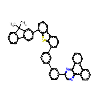 CC1(C)c2ccccc2-c2ccc(-c3cccc4c3sc3c(-c5cccc(-c6cccc(-c7cnc8c9ccccc9c9ccccc9c8n7)c6)c5)cccc34)cc21